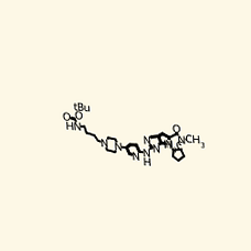 CN(C)C(=O)c1cc2cnc(Nc3ccc(N4CCN(CCCCNC(=O)OC(C)(C)C)CC4)cn3)nc2n1C1CCCC1